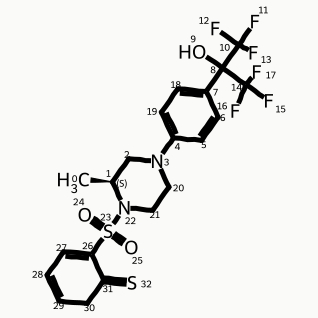 C[C@H]1CN(c2ccc(C(O)(C(F)(F)F)C(F)(F)F)cc2)CCN1S(=O)(=O)C1=CC=CCC1=S